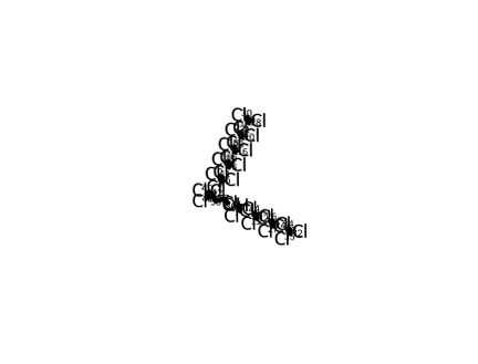 ClC(Cl)Cl.ClC(Cl)Cl.ClC(Cl)Cl.ClC(Cl)Cl.ClC(Cl)Cl.ClC(Cl)Cl.ClC(Cl)Cl.ClC(Cl)Cl.ClC(Cl)Cl.OCCC(Cl)(Cl)Cl